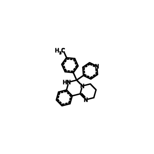 Cc1ccc(C2(c3ccncc3)Nc3ccccc3C3=NCCCN32)cc1